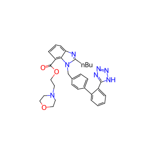 CCCCc1nc2cccc(C(=O)OCCN3CCOCC3)c2n1Cc1ccc(-c2ccccc2-c2nnn[nH]2)cc1